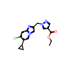 CCOC(=O)c1cnn(Cc2cn3cc(C4CC4)c(Cl)cc3n2)c1